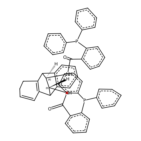 O=C(N[C@@H]1C2C3=C(CCC=C3)C(c3ccccc32)[C@H]1NC(=O)c1ccccc1P(c1ccccc1)c1ccccc1)c1ccccc1P(c1ccccc1)c1ccccc1